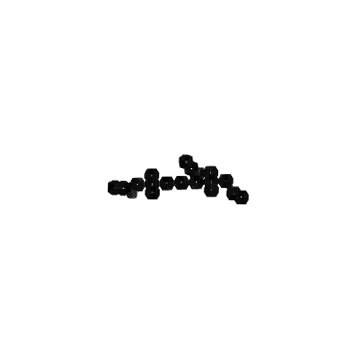 c1cc(-c2ccc3ccccc3c2)cc(-c2c3ccccc3c(-c3ccc(-c4ccc(-c5ccc(-c6c7ccccc7c(-c7ccc8c(c7)oc7cc9ccccc9cc78)c7ccccc67)cc5)cc4)c4c3oc3cc5ccccc5cc34)c3ccccc23)c1